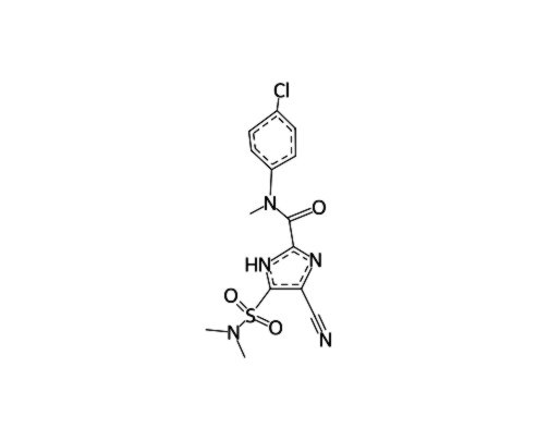 CN(C(=O)c1nc(C#N)c(S(=O)(=O)N(C)C)[nH]1)c1ccc(Cl)cc1